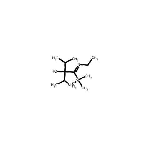 CCN=C(C(O)(C(C)C)C(C)C)[Si](C)(C)C